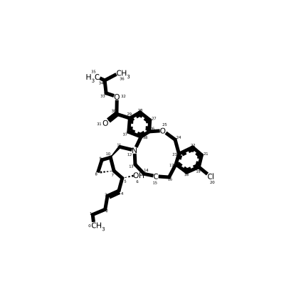 CCC/C=C/[C@@H](O)[C@@H]1CC[C@H]1CN1CCCCc2cc(Cl)ccc2COc2ccc(C(=O)OCC(C)C)cc21